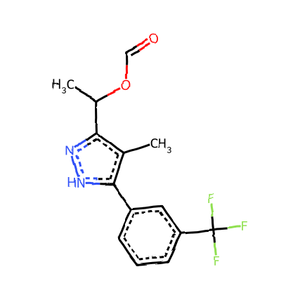 Cc1c(C(C)OC=O)n[nH]c1-c1cccc(C(F)(F)F)c1